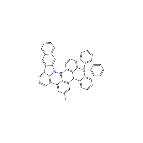 Cc1cc2c3c(c1)C1c4ccccc4S(c4ccccc4)(c4ccccc4)c4cccc(c41)B3n1c3cc4ccccc4cc3c3cccc-2c31